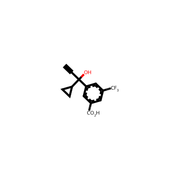 C#CC(O)(c1cc(C(=O)O)cc(C(F)(F)F)c1)C1CC1